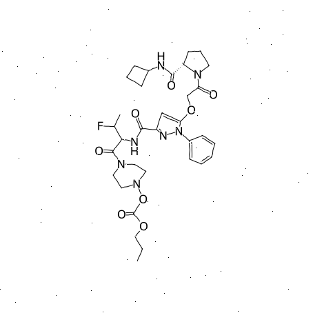 CCCOC(=O)ON1CCN(C(=O)C(NC(=O)c2cc(OCC(=O)N3CCC[C@H]3C(=O)NC3CCC3)n(-c3ccccc3)n2)C(C)F)CC1